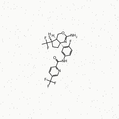 CC(F)(F)[C@@]1(S)CC[C@]2(c3cc(NC(=O)c4ccc(C(F)(F)F)cn4)ccc3F)N=C(N)OC[C@H]12